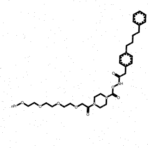 CCCOCCOCCOCCOCC(=O)N1CCN(C(=O)ONC(=O)Cc2ccc(CCCCc3ccccc3)cc2)CC1